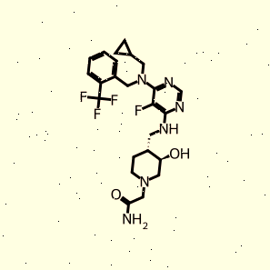 NC(=O)CN1CC[C@H](CNc2ncnc(N(Cc3ccccc3C(F)(F)F)CC3CC3)c2F)[C@@H](O)C1